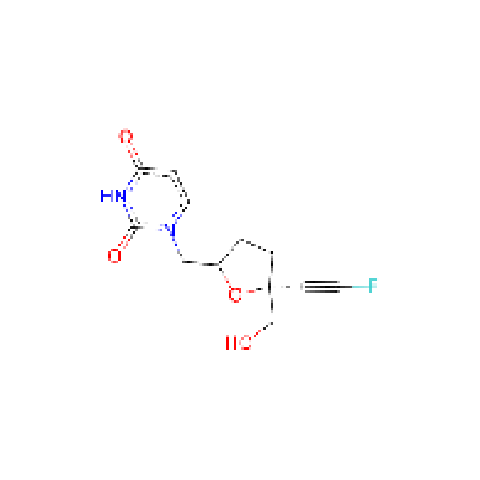 O=c1ccn(CC2CC[C@@](C#CF)(CO)O2)c(=O)[nH]1